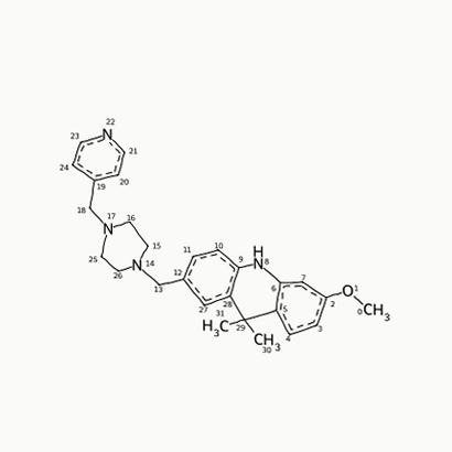 COc1ccc2c(c1)Nc1ccc(CN3CCN(Cc4ccncc4)CC3)cc1C2(C)C